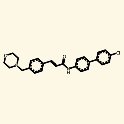 O=C(C=Cc1ccc(CN2CCOCC2)cc1)Nc1ccc(-c2ccc(Cl)cc2)cc1